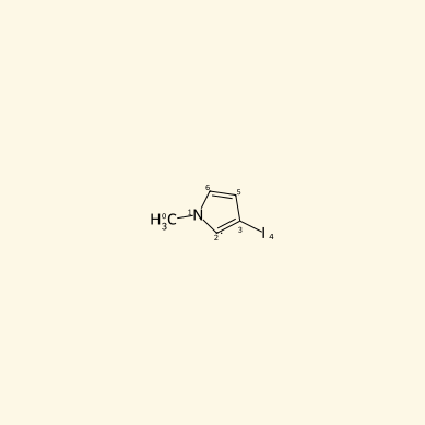 Cn1[c]c(I)cc1